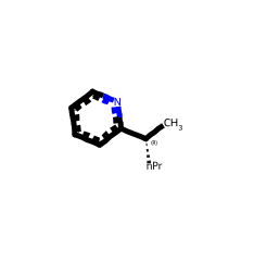 CCC[C@@H](C)c1ccccn1